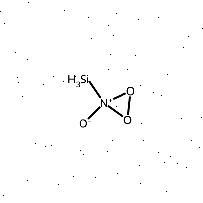 [O-][N+]1([SiH3])OO1